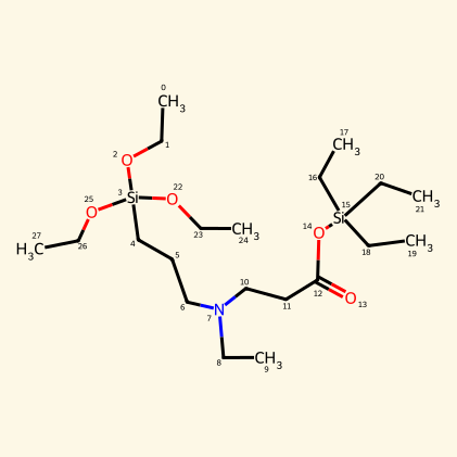 CCO[Si](CCCN(CC)CCC(=O)O[Si](CC)(CC)CC)(OCC)OCC